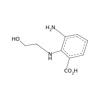 Nc1cccc(C(=O)O)c1NCCO